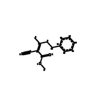 COC(=O)C(C#N)=C(C)CCc1ccccc1